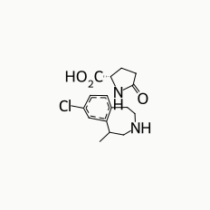 CC1CNCCc2ccc(Cl)cc21.O=C1CC[C@@H](C(=O)O)N1